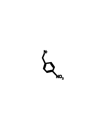 [N]Cc1ccc([N+](=O)[O-])cc1